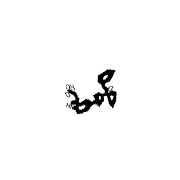 O=C(O)Cc1c[nH]c2ccc(-c3ccc(-c4c(Cc5ccccc5)oc5ccccc45)cc3)cc12